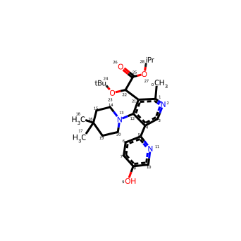 Cc1ncc(-c2ccc(O)cn2)c(N2CCC(C)(C)CC2)c1C(OC(C)(C)C)C(=O)OC(C)C